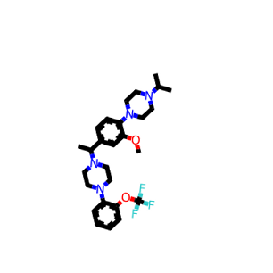 COc1cc(C(C)N2CCN(c3ccccc3OC(F)(F)F)CC2)ccc1N1CCN(C(C)C)CC1